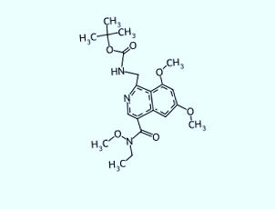 CCN(OC)C(=O)c1cnc(CNC(=O)OC(C)(C)C)c2c(OC)cc(OC)cc12